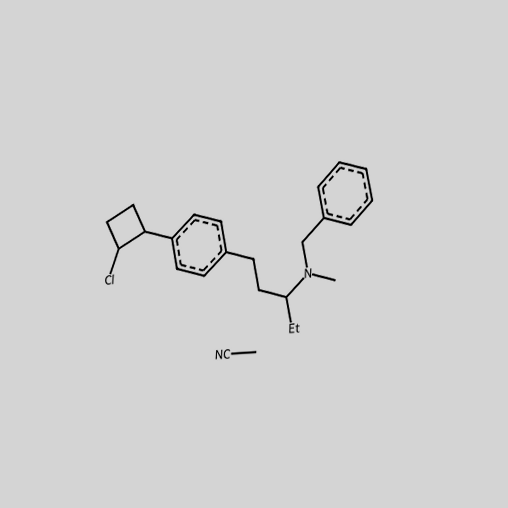 CC#N.CCC(CCc1ccc(C2CCC2Cl)cc1)N(C)Cc1ccccc1